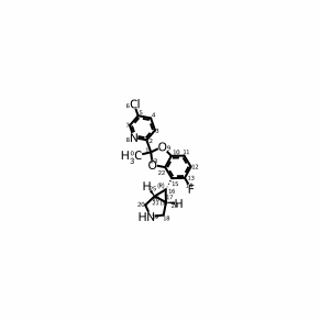 CC1(c2ccc(Cl)cn2)Oc2ccc(F)c([C@@H]3[C@@H]4CNC[C@@H]43)c2O1